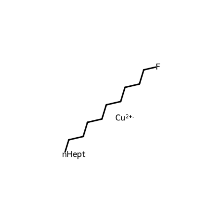 CCCCCCCCCCCCCCCCF.[Cu+2]